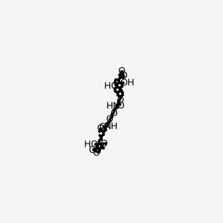 COc1c(C)c2c(c(O)c1C/C=C(\C)CC(CC(=O)NCCOCCOCCNC(=O)COC1CCC3(C)C(CCC4C3CC(O)[C@]3(C)C(C5=CC(=O)OC5)CCC43O)C1)C(C)=O)C(=O)OC2